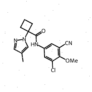 COc1c(Cl)cc(NC(=O)C2(n3cc(C)cn3)CCC2)cc1C#N